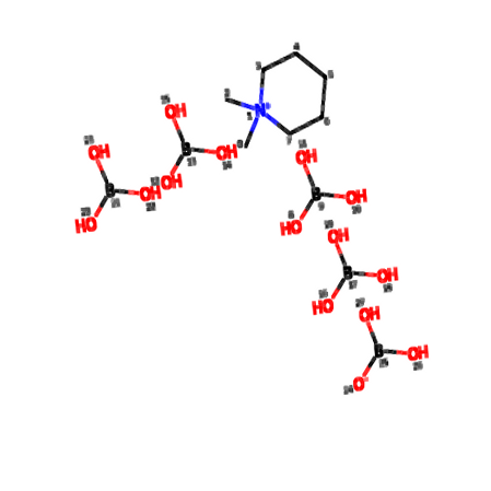 C[N+]1(C)CCCCC1.OB(O)O.OB(O)O.OB(O)O.OB(O)O.[O-]B(O)O